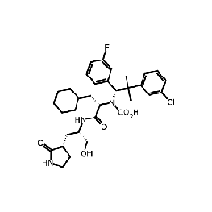 CC(C)(c1cccc(Cl)c1)[C@@H](c1cccc(F)c1)N(C(=O)O)[C@@H](CC1CCCCC1)C(=O)N[C@H](CO)C[C@@H]1CCNC1=O